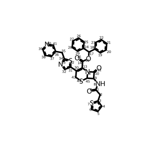 O=C(Cc1cccs1)NC1C(=O)N2C(C(=O)OC(c3ccccc3)c3ccccc3)=C(c3cnc(Cc4cccnc4)s3)CSC12